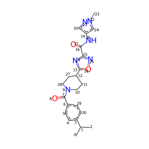 CC(C)c1ccc(C(=O)N2CCC(c3nc(C(=O)Nc4cnn(C)c4)no3)CC2)cc1